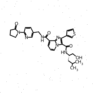 CC(C)C[C@@H](CO)NC(=O)c1c(-c2ccsc2)nc2c(C(=O)NCc3ccc(N4CCCC4=O)nc3)cccn12